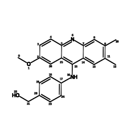 COc1ccc2nc3cc(C)c(C)cc3c(Nc3ccc(CO)cc3)c2c1